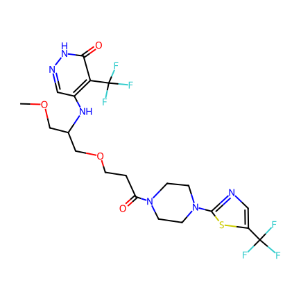 COCC(COCCC(=O)N1CCN(c2ncc(C(F)(F)F)s2)CC1)Nc1cn[nH]c(=O)c1C(F)(F)F